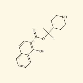 CC(C)(OC(=O)c1ccc2ccccc2c1O)C1CCNCC1